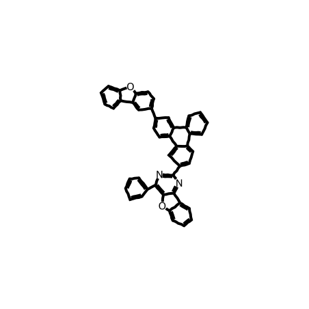 c1ccc(-c2nc(-c3ccc4c5ccccc5c5cc(-c6ccc7oc8ccccc8c7c6)ccc5c4c3)nc3c2oc2ccccc23)cc1